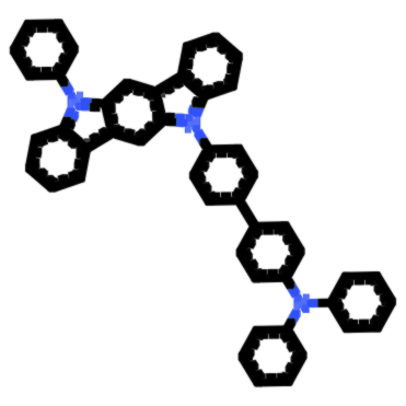 c1ccc(N(c2ccccc2)c2ccc(-c3ccc(-n4c5ccccc5c5cc6c(cc54)c4ccccc4n6-c4ccccc4)cc3)cc2)cc1